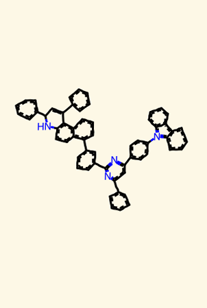 C1=C(c2ccccc2)c2c(ccc3c(-c4cccc(-c5nc(-c6ccccc6)cc(-c6ccc(-n7c8ccccc8c8ccccc87)cc6)n5)c4)cccc23)NC1c1ccccc1